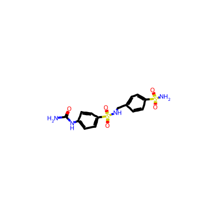 NC(=O)Nc1ccc(S(=O)(=O)NCc2ccc(S(N)(=O)=O)cc2)cc1